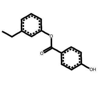 CCc1cccc(OC(=O)c2ccc(O)cc2)c1